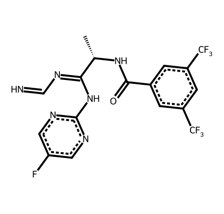 C[C@H](NC(=O)c1cc(C(F)(F)F)cc(C(F)(F)F)c1)/C(=N/C=N)Nc1ncc(F)cn1